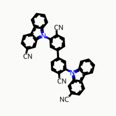 N#Cc1ccc2c3ccccc3n(-c3cc(-c4ccc(C#N)c(-n5c6ccccc6c6ccc(C#N)cc65)c4)ccc3C#N)c2c1